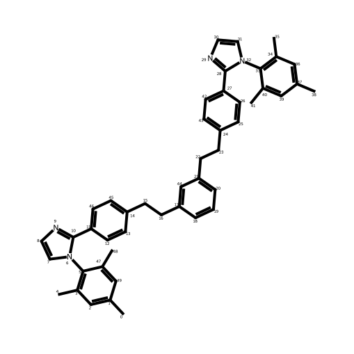 Cc1cc(C)c(-n2ccnc2-c2ccc(CCc3cccc(CCc4ccc(-c5nccn5-c5c(C)cc(C)cc5C)cc4)c3)cc2)c(C)c1